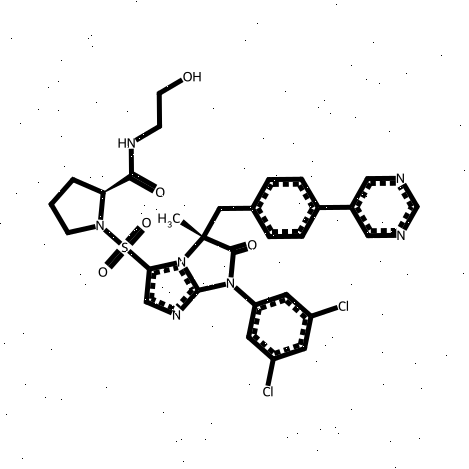 C[C@@]1(Cc2ccc(-c3cncnc3)cc2)C(=O)N(c2cc(Cl)cc(Cl)c2)c2ncc(S(=O)(=O)N3CCC[C@H]3C(=O)NCCO)n21